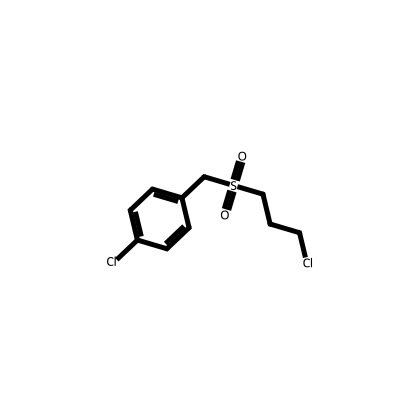 O=S(=O)(CCCCl)Cc1ccc(Cl)cc1